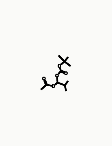 CC(=O)OC(OC(=O)OC(C)(C)C)C(C)C